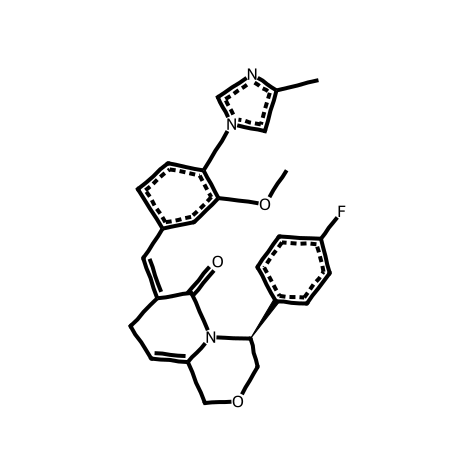 COc1cc(C=C2CC=C3COC[C@H](c4ccc(F)cc4)N3C2=O)ccc1-n1cnc(C)c1